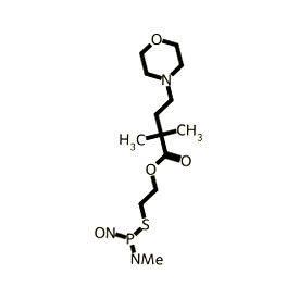 CNP(N=O)SCCOC(=O)C(C)(C)CCN1CCOCC1